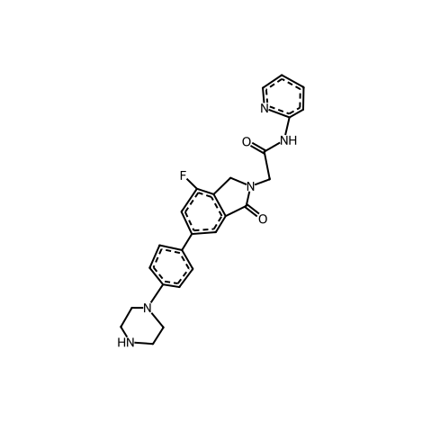 O=C(CN1Cc2c(F)cc(-c3ccc(N4CCNCC4)cc3)cc2C1=O)Nc1ccccn1